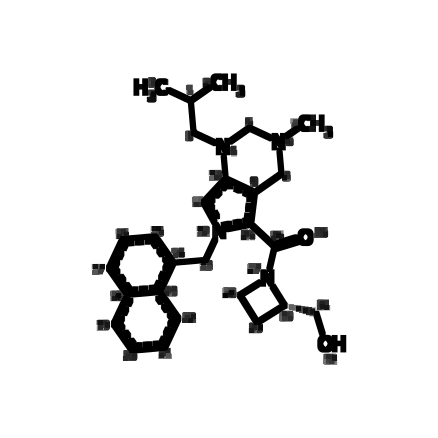 CC(C)CN1CN(C)Cc2c1cn(Cc1cccc3ccccc13)c2C(=O)N1CC[C@H]1CO